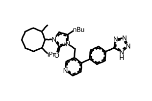 CCCCc1cn(C2C(C)CCCCCC2C(C)C)c(=O)n1Cc1cnccc1-c1ccc(-c2nnn[nH]2)cc1